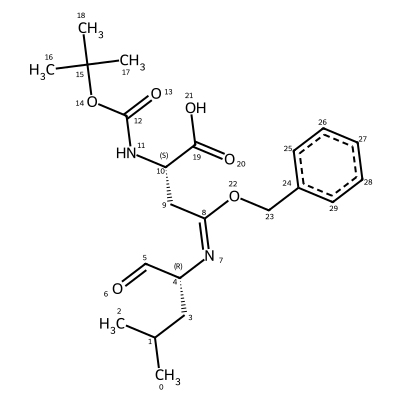 CC(C)C[C@H](C=O)N=C(C[C@H](NC(=O)OC(C)(C)C)C(=O)O)OCc1ccccc1